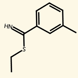 CCSC(=N)c1cccc(C)c1